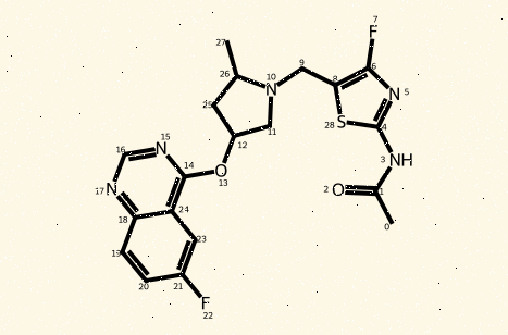 CC(=O)Nc1nc(F)c(CN2CC(Oc3ncnc4ccc(F)cc34)CC2C)s1